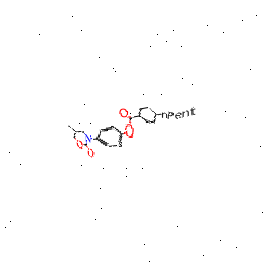 CCCCCC1CCC(C(=O)Oc2ccc(N3CC(C)COC3=O)cc2)CC1